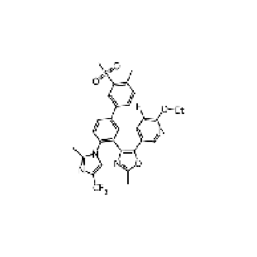 CCOc1ncc(-c2oc(C)nc2-c2cc(-c3ccc(C)c(S(C)(=O)=O)c3)ccc2-n2cc(C(F)(F)F)nc2C)cc1F